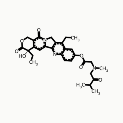 CCc1c2c(nc3ccc(OC(=O)CN(C)CC(=O)C(C)C)cc13)-c1cc3c(c(=O)n1C2)COC(=O)[C@]3(O)CC